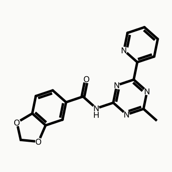 Cc1nc(NC(=O)c2ccc3c(c2)OCO3)nc(-c2ccccn2)n1